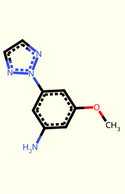 COc1cc(N)cc(-n2nccn2)c1